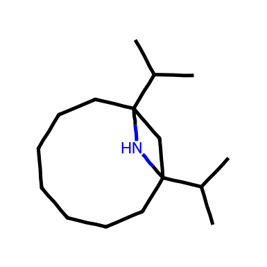 CC(C)C12CCCCCCCC(C(C)C)(C1)N2